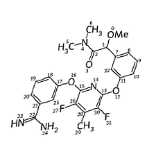 COC(C(=O)N(C)C)c1cccc(Oc2nc(Oc3cccc(C(=N)N)c3)c(F)c(C)c2F)c1